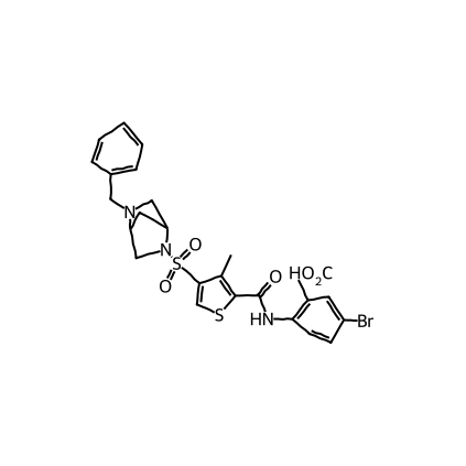 Cc1c(S(=O)(=O)N2CC3CC2CN3Cc2ccccc2)csc1C(=O)Nc1ccc(Br)cc1C(=O)O